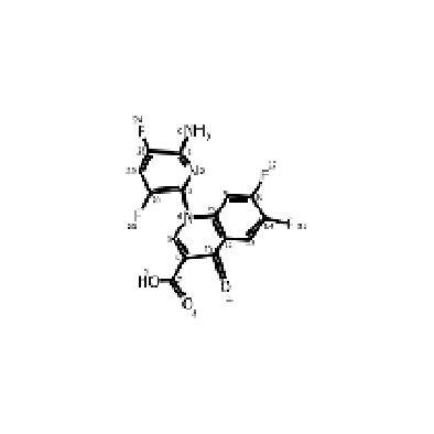 Nc1nc(-n2cc(C(=O)O)c(=O)c3cc(F)c(F)cc32)c(F)cc1F